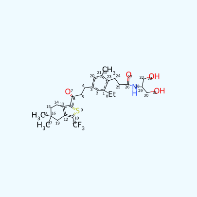 CCc1cc(CCC(=O)c2sc(C(F)(F)F)c3c2CCC(C)(C)C3)cc(C)c1CCC(=O)NC(CO)CO